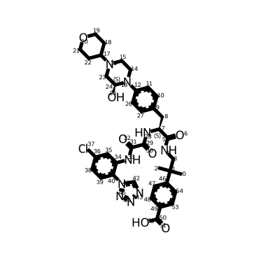 CC(C)(CNC(=O)[C@H](Cc1ccc(N2CCN(C3CCOCC3)C[C@@H]2O)cc1)NC(=O)C(=O)Nc1cc(Cl)ccc1-n1cnnn1)c1ccc(C(=O)O)cc1